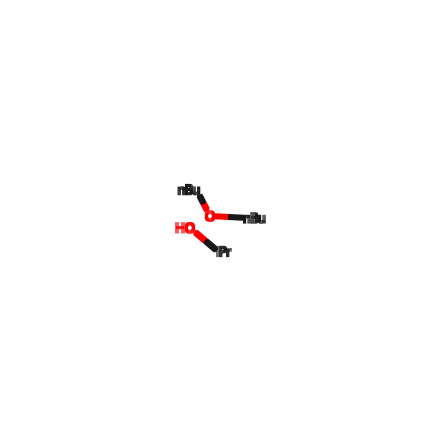 CC(C)O.CCCCOCCCC